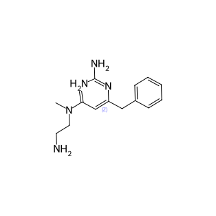 C=C(/C=C(/Cc1ccccc1)N=C(N)N)N(C)CCN